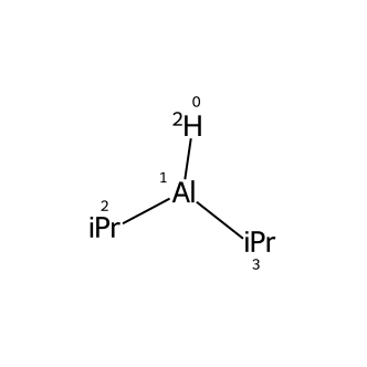 [2H][Al]([CH](C)C)[CH](C)C